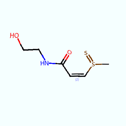 CS(=S)/C=C\C(=O)NCCO